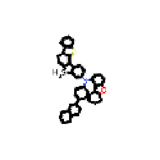 C1=Cc2c(oc3cccc(N(C4=CC=C(c5ccc6ccccc6c5)CC4)c4ccc5c(c4)[SiH2]C4=CCC6C(=C45)Sc4ccccc46)c23)CC1